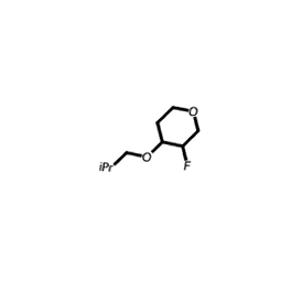 CC(C)COC1CCOCC1F